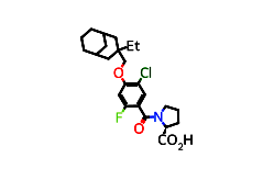 CCC1(COc2cc(F)c(C(=O)N3CCC[C@H]3C(=O)O)cc2Cl)CC2CCCC(C2)C1